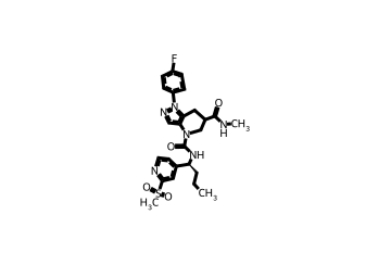 CCC[C@H](NC(=O)N1CC(C(=O)NC)Cc2c1cnn2-c1ccc(F)cc1)c1ccnc(S(C)(=O)=O)c1